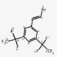 CC(=O)C=Cc1cc(C(F)(F)C(F)(F)F)cc(C(F)(F)C(F)(F)F)c1